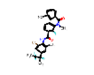 CN(C(=O)c1cccc(C#N)c1)c1cccc(C(=O)Nc2c(Br)cc(C(F)(C(F)(F)F)C(F)(F)C(F)(F)F)cc2C(F)(F)F)c1F